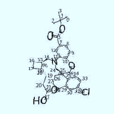 CC(C)(C)OC(=O)c1ccc2c(c1)N(C[C@@H]1CC[C@H]1CCC(=O)O)C[C@@]1(CCCc3cc(Cl)ccc31)CO2